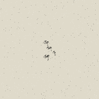 [S].[Se].[Se].[Te]